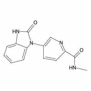 CNC(=O)c1ccc(-n2c(=O)[nH]c3ccccc32)cn1